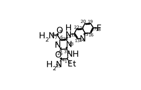 CCC(Nc1cnc(C(N)=O)c(Nc2cnc3cc(F)ccc3c2)n1)C(N)=O